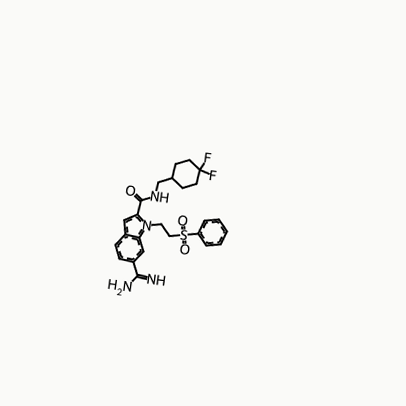 N=C(N)c1ccc2cc(C(=O)NCC3CCC(F)(F)CC3)n(CCS(=O)(=O)c3ccccc3)c2c1